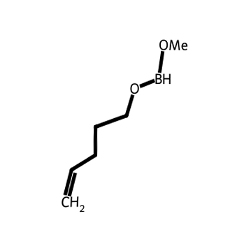 C=CCCCOBOC